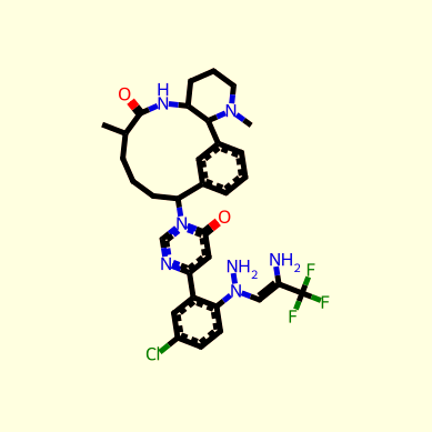 CC1CCCC(n2cnc(-c3cc(Cl)ccc3N(N)/C=C(\N)C(F)(F)F)cc2=O)c2cccc(c2)C2C(CCCN2C)NC1=O